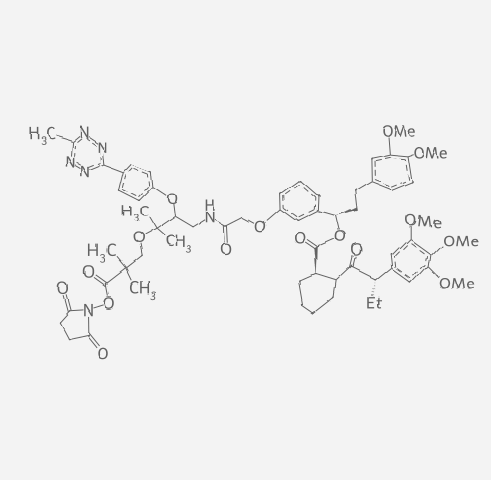 CC[C@H](C(=O)C1CCCC[C@H]1C(=O)O[C@H](CCc1ccc(OC)c(OC)c1)c1cccc(OCC(=O)NCC(Oc2ccc(-c3nnc(C)nn3)cc2)C(C)(C)OCC(C)(C)C(=O)ON2C(=O)CCC2=O)c1)c1cc(OC)c(OC)c(OC)c1